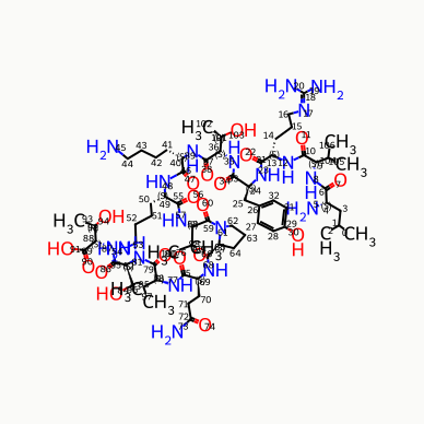 CC(C)C[C@H](N)C(=O)N[C@H](C(=O)N[C@@H](CCCN=C(N)N)C(=O)N[C@@H](Cc1ccc(O)cc1)C(=O)N[C@H](C(=O)N[C@@H](CCCCN)C(=O)N[C@@H](CCCCN)C(=O)N[C@H](C(=O)N1CCC[C@H]1C(=O)N[C@@H](CCC(N)=O)C(=O)N[C@H](C(=O)N[C@@H](CO)C(=O)N[C@H](C(=O)O)[C@@H](C)O)C(C)C)C(C)C)[C@@H](C)O)C(C)C